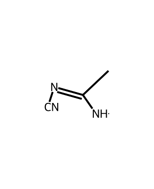 CC([NH])=NC#N